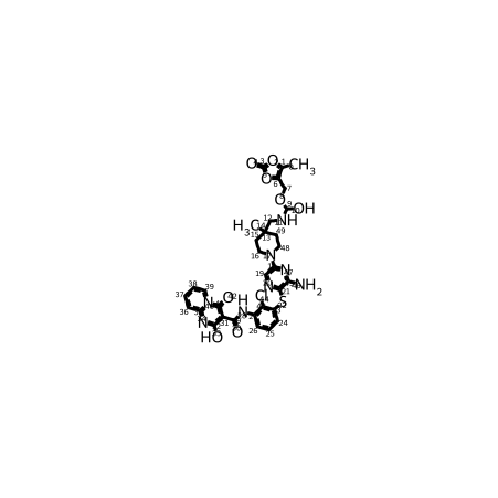 Cc1oc(=O)oc1COC(O)NCC1(C)CCN(c2cnc(Sc3cccc(NC(=O)c4c(O)nc5ccccn5c4=O)c3Cl)c(N)n2)CC1